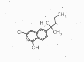 CCCC(C)(C)c1ccc2c(O)nc(Cl)cc2c1